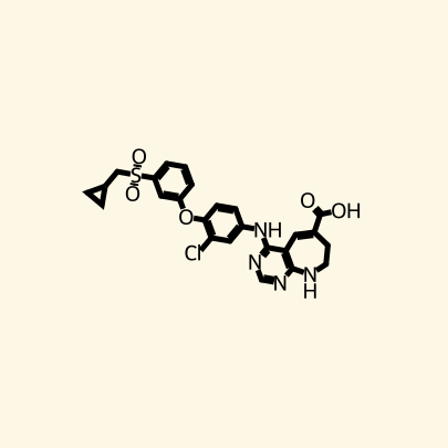 O=C(O)C1=Cc2c(ncnc2Nc2ccc(Oc3cccc(S(=O)(=O)CC4CC4)c3)c(Cl)c2)NCC1